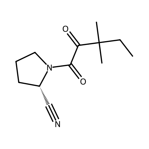 CCC(C)(C)C(=O)C(=O)N1CCC[C@H]1C#N